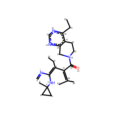 C=N/C(NC1(C)CC1)=C(\CC)C(C(=O)N1CCc2c(CC)ncnc2C1)=C(C)C